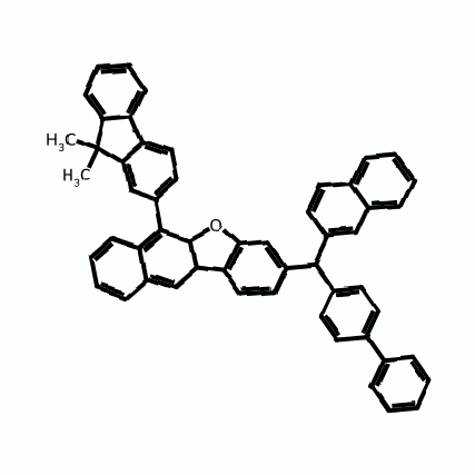 CC1(C)c2ccccc2-c2ccc(C3=c4ccccc4=CC4c5ccc(C(c6ccc(-c7ccccc7)cc6)c6ccc7ccccc7c6)cc5OC34)cc21